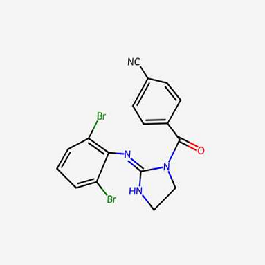 N#Cc1ccc(C(=O)N2CCNC2=Nc2c(Br)cccc2Br)cc1